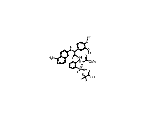 CCOc1cc(C(Nc2ccc3c(N)nccc3c2)C(=O)N[C@H](CC(=O)OC)c2ccccc2S(=O)(=O)C(C)C)ccc1OC(C)C.O=C(O)C(F)(F)F